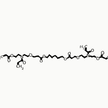 C=CC(=O)OCCN(CCOCCC(=O)OCCCCCCOC(=O)CCOCCN(CCOC(=O)C=C)C(=O)C=C)C(=O)C=C